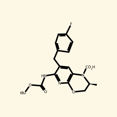 C[C@H]1COc2nc(NC(=O)OC(C)(C)C)c(Cc3ccc(F)cc3)cc2N1C(=O)O